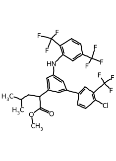 COC(=O)C(CC(C)C)c1cc(Nc2cc(C(F)(F)F)ccc2C(F)(F)F)cc(-c2ccc(Cl)c(C(F)(F)F)c2)c1